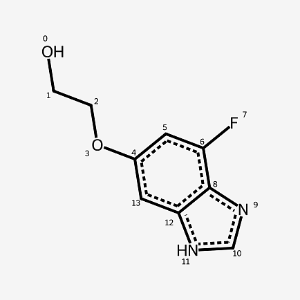 OCCOc1cc(F)c2nc[nH]c2c1